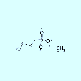 CCOS(=O)(=O)CC[C]=O